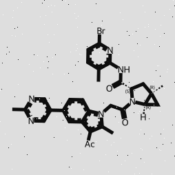 CC(=O)c1c(C)n(CC(=O)N2[C@H](C(=O)Nc3nc(Br)ccc3C)C[C@@]3(C)C[C@@H]23)c2ccc(-c3cnc(C)nc3)cc12